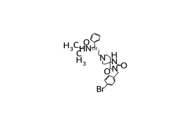 CC(C)C(=O)N[C@@H](CCN1CCC2(CC1)NC(=O)N(Cc1ccc(Br)cc1)C2=O)c1ccccc1